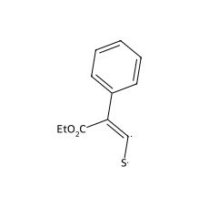 CCOC(=O)C(=[C][S])c1ccccc1